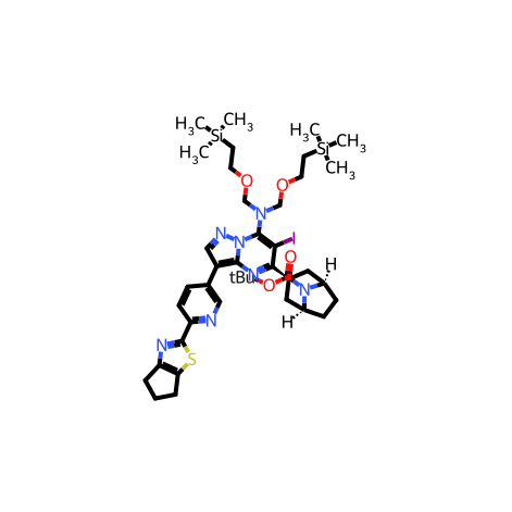 CC(C)(C)OC(=O)N1[C@@H]2CC[C@H]1C[C@@H](c1nc3c(-c4ccc(-c5nc6c(s5)CCC6)nc4)cnn3c(N(COCC[Si](C)(C)C)COCC[Si](C)(C)C)c1I)C2